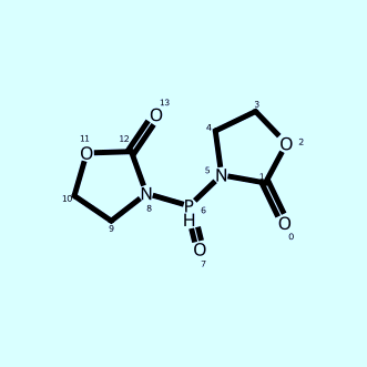 O=C1OCCN1[PH](=O)N1CCOC1=O